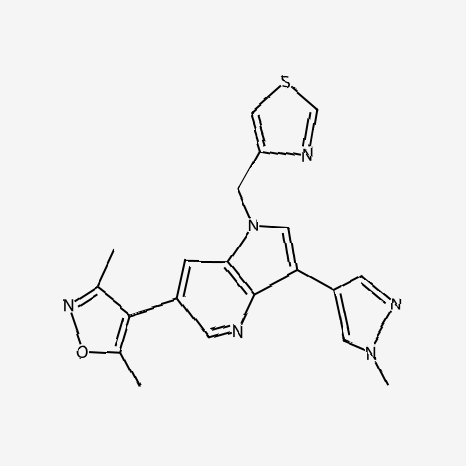 Cc1noc(C)c1-c1cnc2c(-c3cnn(C)c3)cn(Cc3cscn3)c2c1